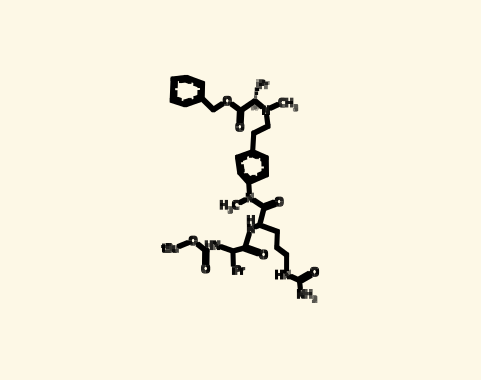 CC(C)C(NC(=O)OC(C)(C)C)C(=O)NC(CCCNC(N)=O)C(=O)N(C)c1ccc(CCN(C)[C@H](C(=O)OCc2ccccc2)C(C)C)cc1